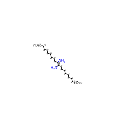 CCCCCCCCCCCCCCCCCCC(N)C(N)CCCCCCCCCCCCCCCCCC